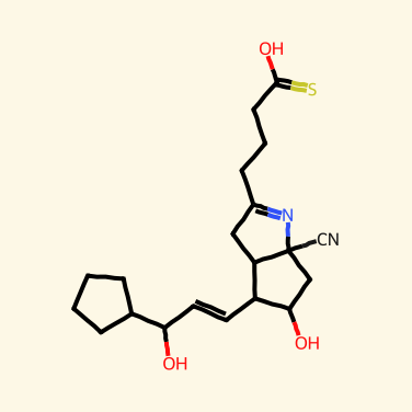 N#CC12CC(O)C(C=CC(O)C3CCCC3)C1CC(CCCC(O)=S)=N2